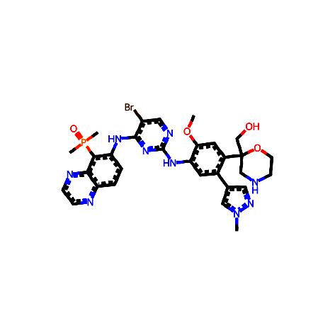 COc1cc(C2(CO)CNCCO2)c(-c2cnn(C)c2)cc1Nc1ncc(Br)c(Nc2ccc3nccnc3c2P(C)(C)=O)n1